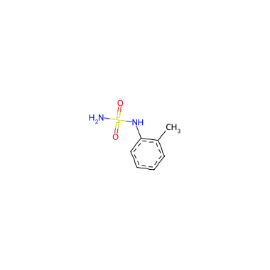 Cc1ccccc1NS(N)(=O)=O